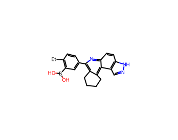 CCc1ccc(-c2nc3ccc4[nH]ncc4c3c3c2CCCC3)cc1B(O)O